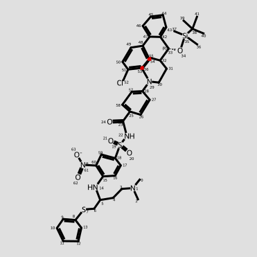 CN(C)CCC(CSc1ccccc1)Nc1ccc(S(=O)(=O)NC(=O)c2ccc(N3CCC([C@@H](O[Si](C)(C)C(C)(C)C)c4ccccc4-c4ccc(Cl)cc4)CC3)cc2)cc1[N+](=O)[O-]